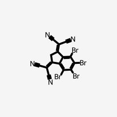 N#CC(C#N)=C1CC(=C(C#N)C#N)c2c(Br)c(Br)c(Br)c(Br)c21